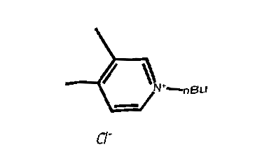 CCCC[n+]1ccc(C)c(C)c1.[Cl-]